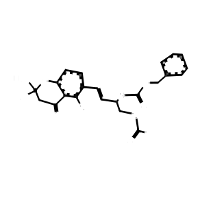 CC(=O)OCC(C=Cc1ccc2c(c1N)C(=O)CC(C)(C)O2)NC(=O)OCc1ccccc1